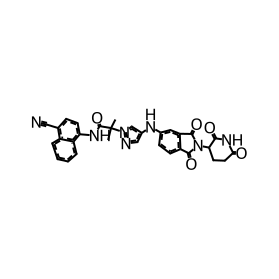 CC(C)(C(=O)Nc1ccc(C#N)c2ccccc12)n1cc(Nc2ccc3c(c2)C(=O)N(C2CCC(=O)NC2=O)C3=O)cn1